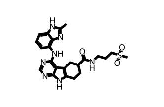 Cc1nc2c(Nc3ncnc4[nH]c5c(c34)CC(C(=O)NCCCS(C)(=O)=O)CC5)cccc2[nH]1